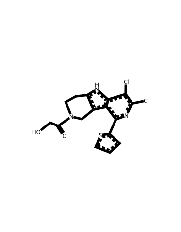 O=C(CO)N1CCc2[nH]c3c(Cl)c(Cl)nc(-c4cccs4)c3c2C1